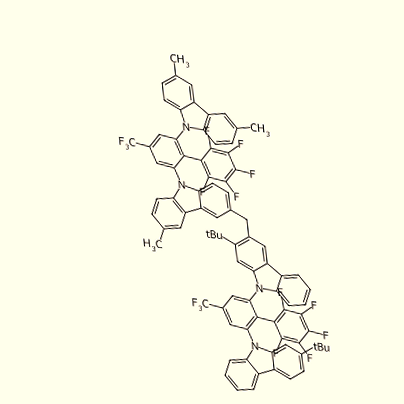 Cc1ccc2c(c1)c1cc(C)ccc1n2-c1cc(C(F)(F)F)cc(-n2c3ccc(C)cc3c3cc(Cc4cc5c6ccccc6n(-c6cc(C(F)(F)F)cc(-n7c8ccccc8c8ccc(C(C)(C)C)cc87)c6-c6c(F)c(F)c(F)c(F)c6F)c5cc4C(C)(C)C)ccc32)c1-c1c(F)c(F)c(F)c(F)c1F